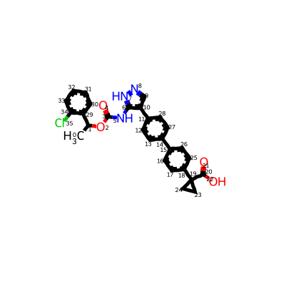 CC(OC(=O)Nc1[nH]ncc1-c1ccc(-c2ccc(C3(C(=O)O)CC3)cc2)cc1)c1ccccc1Cl